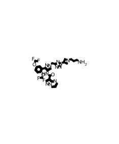 NCCCN1CC(n2nnc(Cn3cc(NC(=O)c4cnn5cccnc45)c(-c4cc(OC(F)F)ccc4OC(F)F)n3)n2)C1